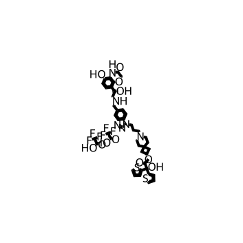 O=C(O)C(F)(F)F.O=C(O)C(F)(F)F.O=C1COc2c([C@@H](O)CNCc3ccc4c(c3)nnn4CCCN3CCC4(CC3)CC(OC(=O)C(O)(c3cccs3)c3cccs3)C4)ccc(O)c2N1